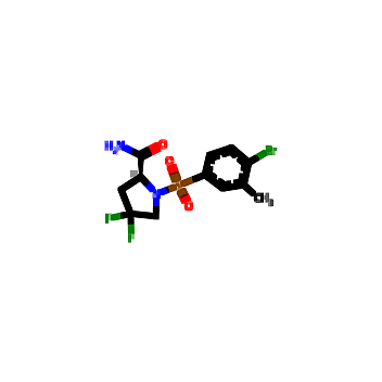 Cc1cc(S(=O)(=O)N2CC(F)(F)C[C@H]2C(N)=O)ccc1Br